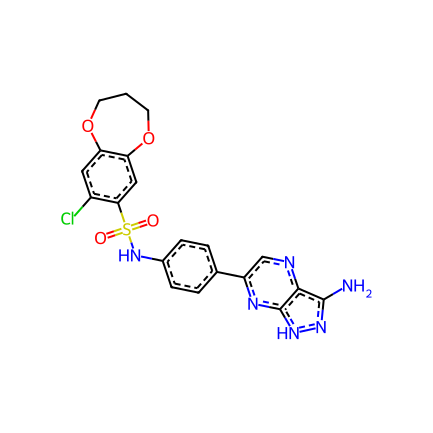 Nc1n[nH]c2nc(-c3ccc(NS(=O)(=O)c4cc5c(cc4Cl)OCCCO5)cc3)cnc12